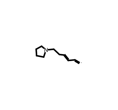 [CH]=C/C=C/CCN1CCCC1